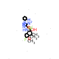 COc1c(F)ccc2c1C(C)(C)C[C@](O)(C(F)(F)F)[C@@H]2NC(=O)c1nnn(-c2ccccc2)c1N